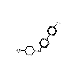 CC(C)(C)c1ccc(-c2ccc(NC3CCC(N)CC3)cc2)cc1